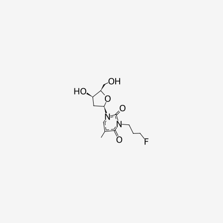 Cc1cn([C@H]2C[C@@H](O)[C@@H](CO)O2)c(=O)n(CCCF)c1=O